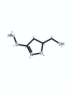 CCCCOC1=NOC(CO)C1